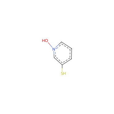 O[n+]1cccc(S)c1